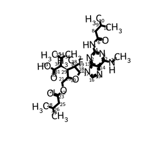 CNc1nc(NC(=O)CC(C)C)nc2c1ncn2[C@@H]1OC(COC(=O)CC(C)C)[C@@H](C(C(=O)O)C(C)C)[C@@]1(C)F